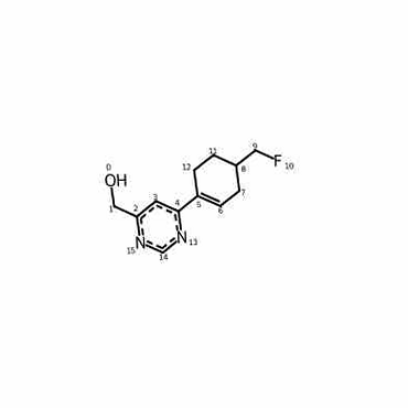 OCc1cc(C2=CCC(CF)CC2)ncn1